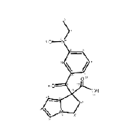 CC[S+]([O-])c1cccc(C(=O)C2(C(=O)O)CCn3cccc32)c1